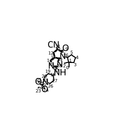 CC1(C)CCCC1n1c(=O)c(C#N)cc2cnc(NC3CCN(S(C)(=O)=O)CC3)nc21